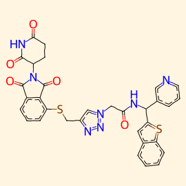 O=C1CCC(N2C(=O)c3cccc(SCc4cn(CC(=O)NC(c5cccnc5)c5cc6ccccc6s5)nn4)c3C2=O)C(=O)N1